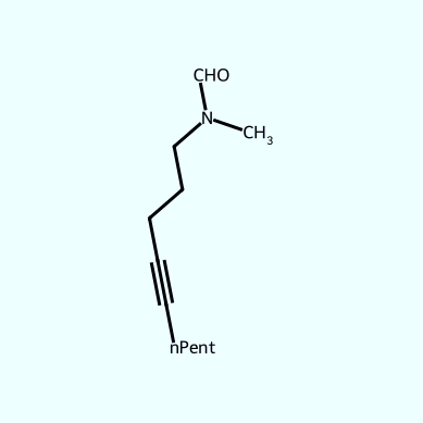 [CH2]CCCCC#CCCCN(C)C=O